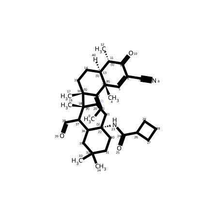 C/C=C1/[C@@]2(C)C=C(C#N)C(=O)[C@@H](C)[C@@H]2CC[C@@]1(C)[C@]1(C)CC[C@@]2(NC(=O)C3CCC3)CCC(C)(C)CC2C1C=O